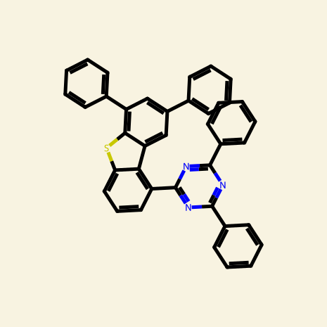 c1ccc(-c2cc(-c3ccccc3)c3sc4cccc(-c5nc(-c6ccccc6)nc(-c6ccccc6)n5)c4c3c2)cc1